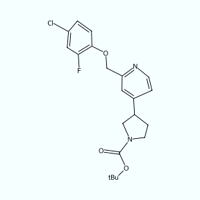 CC(C)(C)OC(=O)N1CCC(c2ccnc(COc3ccc(Cl)cc3F)c2)C1